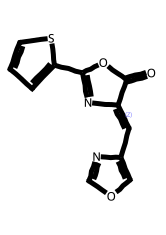 O=C1OC(c2cccs2)=N/C1=C\c1cocn1